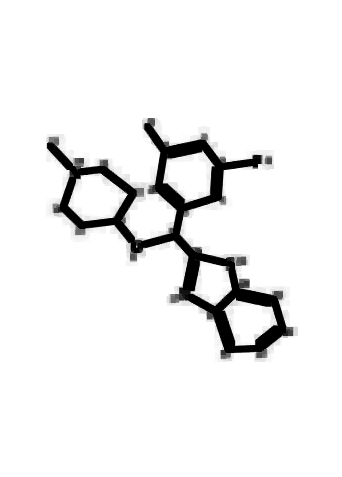 Cc1cc(F)cc(C(OC2CCN(C)CC2)c2nc3ccccc3s2)c1